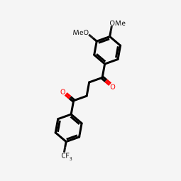 COc1ccc(C(=O)CCC(=O)c2ccc(C(F)(F)F)cc2)cc1OC